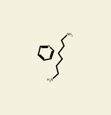 NCCCCCCN.c1ccncc1